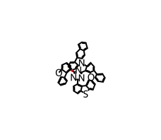 c1ccc2cc3c(cc2c1)c1ccccc1n3-c1ccc2c(oc3ccccc32)c1-c1nc(-c2cccc3oc4ccccc4c23)nc(-c2cccc3sc4ccccc4c23)n1